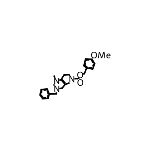 COc1ccc(COC(=O)N2CCC3=C(CN(Cc4ccccc4)CN3C)C2)cc1